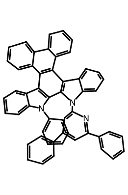 c1ccc(-c2cc(-c3ccccc3)nc(-n3c4ccccc4c4c5c6ccccc6c6ccccc6c5c5c6ccccc6n(-c6ccccc6)c5c43)c2)cc1